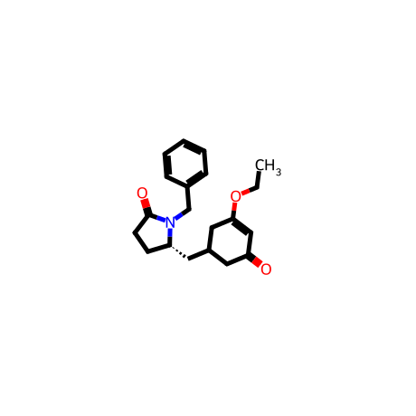 CCOC1=CC(=O)CC(C[C@@H]2CCC(=O)N2Cc2ccccc2)C1